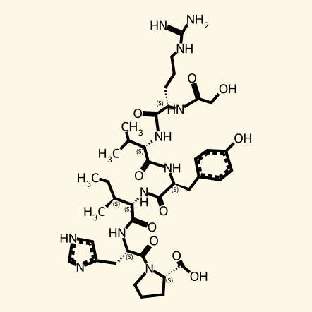 CC[C@H](C)[C@H](NC(=O)[C@H](Cc1ccc(O)cc1)NC(=O)[C@@H](NC(=O)[C@H](CCCNC(=N)N)NC(=O)CO)C(C)C)C(=O)N[C@@H](Cc1c[nH]cn1)C(=O)N1CCC[C@H]1C(=O)O